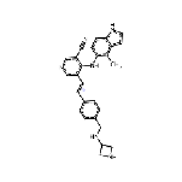 Cc1c(Nc2c(C#N)cncc2/C=C/c2ccc(CNC3CNC3)cc2)ccc2[nH]ccc12